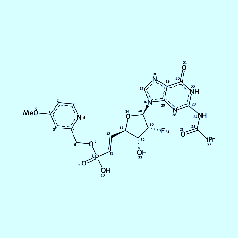 COc1ccnc(COP(=O)(O)/C=C/[C@H]2O[C@@H](n3cnc4c(=O)[nH]c(NC(=O)C(C)C)nc43)[C@H](F)[C@@H]2O)c1